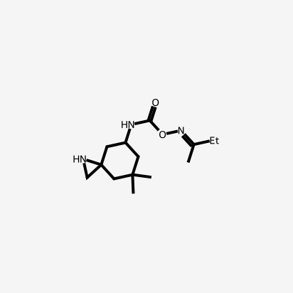 CCC(C)=NOC(=O)NC1CC(C)(C)CC2(CN2)C1